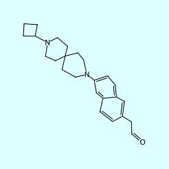 O=CCc1ccc2cc(N3CCC4(CC3)CCN(C3CCC3)CC4)ccc2c1